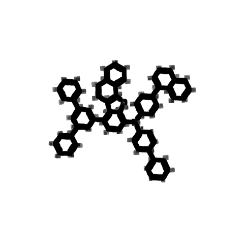 c1ccc(-c2ccc(N(c3ccc(-c4cccc5ccccc45)cc3)c3ccc(-c4cc(-c5ccccc5)cc(-c5ccccc5)c4)c4c3oc3c5ccccc5ccc34)cc2)cc1